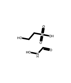 O=CNO.O=S(=O)(O)CCO